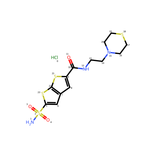 Cl.NS(=O)(=O)c1cc2cc(C(=O)NCCN3CCSCC3)sc2s1